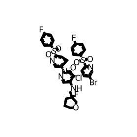 O=S(=O)(c1ccc(F)cc1)c1ccc(Br)cn1.O=c1c(Cl)c(NCC2(F)CCCOC2)cnn1-c1ccc(S(=O)(=O)c2ccc(F)cc2)nc1